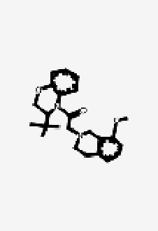 COc1cccc2c1CN(CC(=O)N1c3ccccc3OCC1C(C)(C)C)CC2